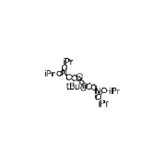 CC(C)c1ccc2c(c1)c1cc(C(C)C)ccc1n2-c1ccc2cc3c(cc2c1)oc1c(C(C)(C)C)c2c(cc13)oc1cc3cc(-n4c5ccc(C(C)C)cc5c5cc(C(C)C)ccc54)ccc3cc12